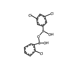 OB(OB(O)c1ccccc1Cl)c1cc(Cl)cc(Cl)c1